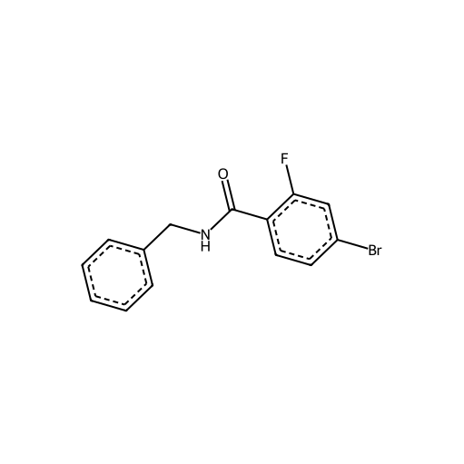 O=C(NCc1ccccc1)c1ccc(Br)cc1F